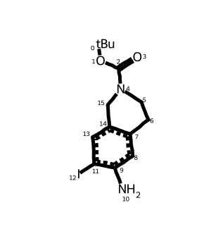 CC(C)(C)OC(=O)N1CCc2cc(N)c(I)cc2C1